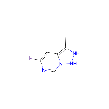 CC1=C2C=C(I)N=CN2NN1